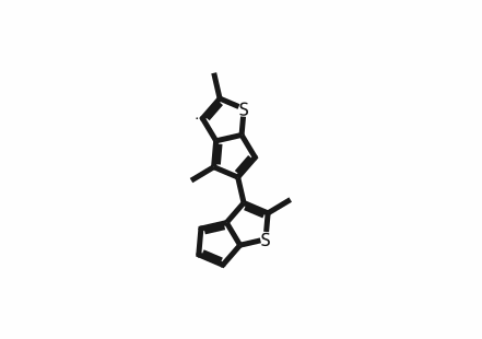 CC1=[C]C2=C(C)C(C3=C(C)SC4C=CC=C34)=CC2S1